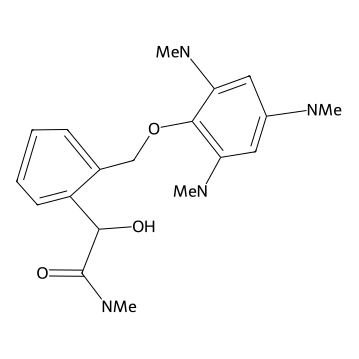 CNC(=O)C(O)c1ccccc1COc1c(NC)cc(NC)cc1NC